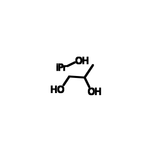 CC(C)O.CC(O)CO